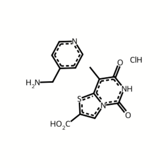 Cc1c(=O)[nH]c(=O)n2cc(C(=O)O)sc12.Cl.NCc1ccncc1